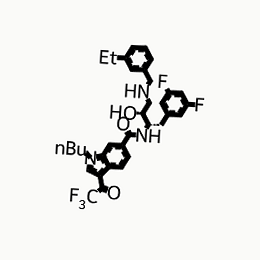 CCCCn1cc(C(=O)C(F)(F)F)c2ccc(C(=O)N[C@@H](Cc3cc(F)cc(F)c3)[C@@H](O)CNCc3cccc(CC)c3)cc21